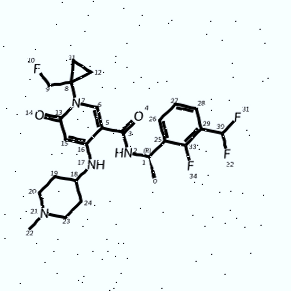 C[C@@H](NC(=O)c1cn(C2(CF)CC2)c(=O)cc1NC1CCN(C)CC1)c1cccc(C(F)F)c1F